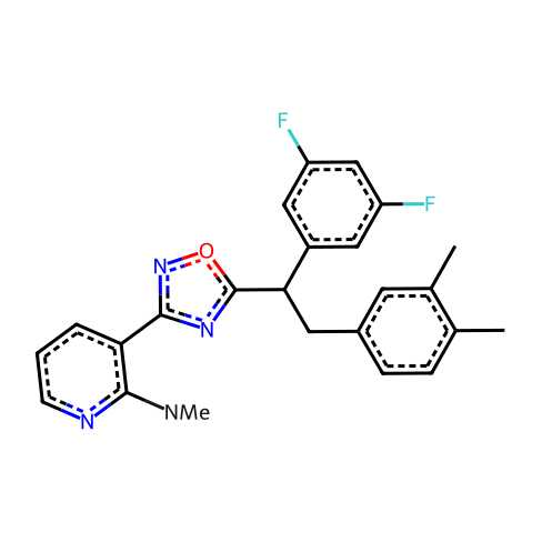 CNc1ncccc1-c1noc(C(Cc2ccc(C)c(C)c2)c2cc(F)cc(F)c2)n1